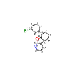 Brc1cccc(-c2cccc3c2oc2ncccc23)c1